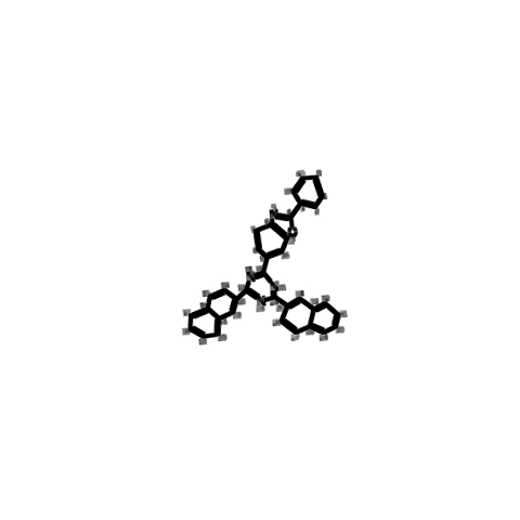 c1ccc(-c2nc3ccc(-c4nc(-c5ccc6ccccc6c5)nc(-c5ccc6ccccc6c5)n4)cc3o2)cc1